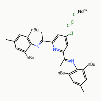 CCCCc1cc(C)cc(CCCC)c1N=C(C)c1cc(Cl)cc(C(C)=Nc2c(CCCC)cc(C)cc2CCCC)n1.[Cl-].[Cl-].[Cl-].[Nd+3]